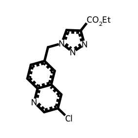 CCOC(=O)c1cn(Cc2ccc3ncc(Cl)cc3c2)nn1